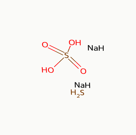 O=S(=O)(O)O.S.[NaH].[NaH]